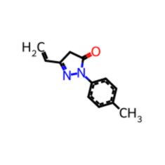 C=CC1=NN(c2ccc(C)cc2)C(=O)C1